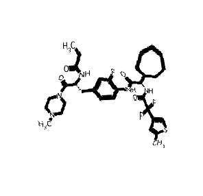 CCC(=O)N[C@H](Cc1ccc(NC(=O)[C@@H](NC(=O)C(F)(F)c2csc(C)c2)C2CCCCCC2)c(F)c1)C(=O)N1CCN(C)CC1